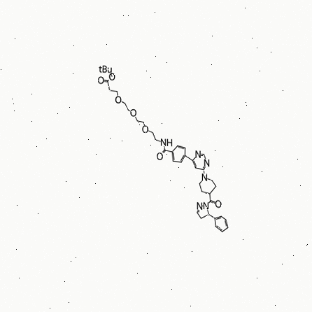 CC(C)(C)OC(=O)CCOCCOCCOCCNC(=O)c1ccc(-c2cc(N3CCC(C(=O)N4N=CCC4c4ccccc4)CC3)ncn2)cc1